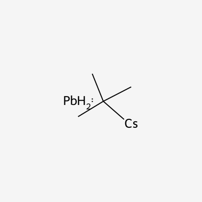 C[C](C)(C)[Cs].[PbH2]